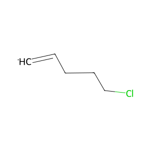 [CH]=CCCCCl